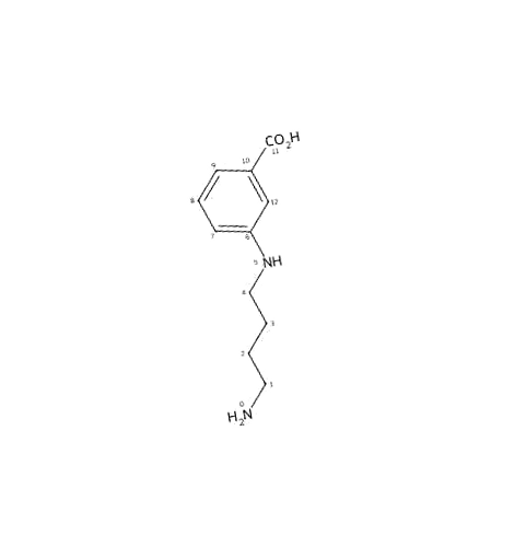 NCCCCNc1cccc(C(=O)O)c1